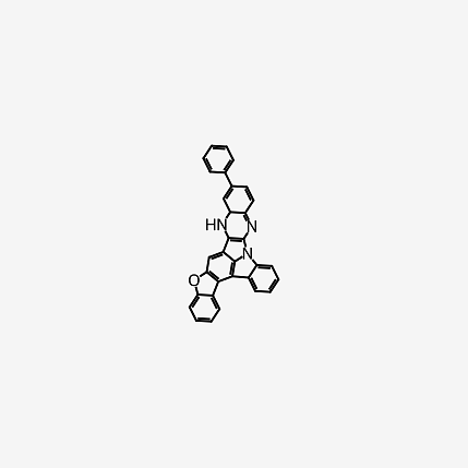 C1=CC2=Nc3c(c4cc5oc6ccccc6c5c5c6ccccc6n3c45)NC2C=C1c1ccccc1